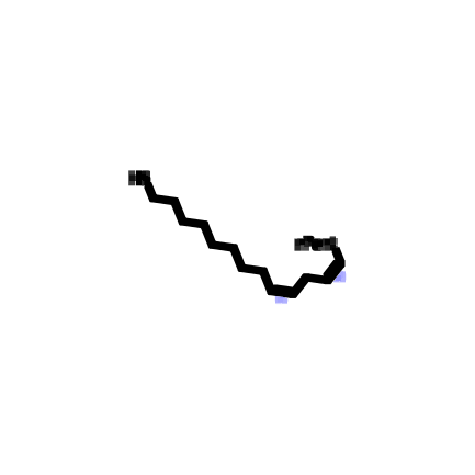 CCCCC/C=C\C/C=C\CCCCCCCCS